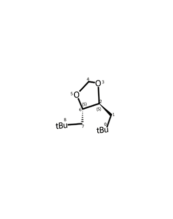 CC(C)(C)C[C@@H]1OCO[C@H]1CC(C)(C)C